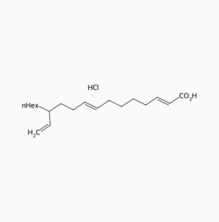 C=CC(CCC=CCCCCC=CC(=O)O)CCCCCC.Cl